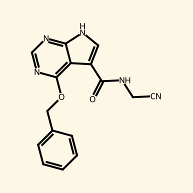 N#CCNC(=O)c1c[nH]c2ncnc(OCc3ccccc3)c12